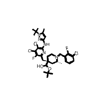 Cc1cc(Nc2nc(C[C@@]3(C(O)OC(C)(C)C)CCN(Cc4cccc(Cl)c4F)[C@H](C)C3)c(F)c(Cl)c2Cl)nn1C(C)(C)C